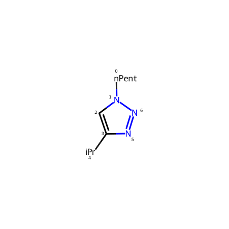 CCCCCn1cc(C(C)C)nn1